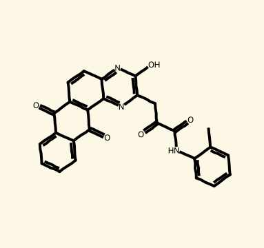 Cc1ccccc1NC(=O)C(=O)Cc1nc2c3c(ccc2nc1O)C(=O)c1ccccc1C3=O